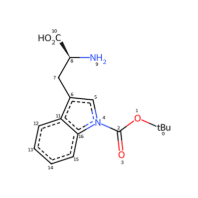 CC(C)(C)OC(=O)n1cc(C[C@H](N)C(=O)O)c2ccccc21